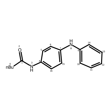 CCCCC(=O)Nc1ccc(Nc2ccccc2)cc1